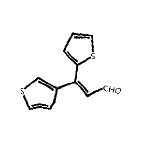 O=CC=C(c1ccsc1)c1cccs1